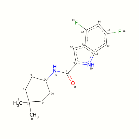 CC1(C)CCC(NC(=O)c2cc3c(F)cc(F)cc3[nH]2)CC1